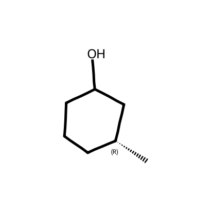 C[C@@H]1CCCC(O)C1